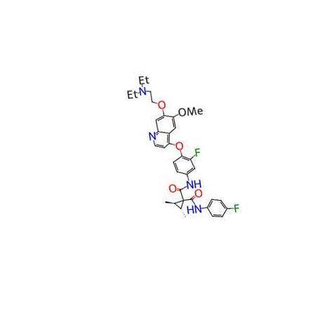 CCN(CC)CCOc1cc2nccc(Oc3ccc(NC(=O)C4(C(=O)Nc5ccc(F)cc5)[C@H](C)[C@H]4C)cc3F)c2cc1OC